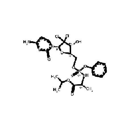 CC(C)OC(=O)[C@H](C)N[P@@](=S)(OC[C@H]1O[C@@H](n2ccc(N)nc2=O)C(Cl)(Cl)[C@@H]1O)Oc1ccccc1